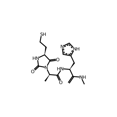 C=C(NC)[C@H](Cc1cnc[nH]1)NC(=O)[C@@H](C)N1C(=O)N[C@@H](CCS)C1=O